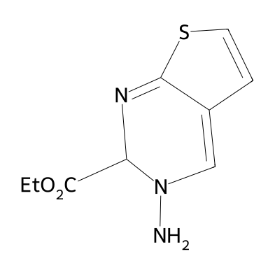 CCOC(=O)C1N=c2sccc2=CN1N